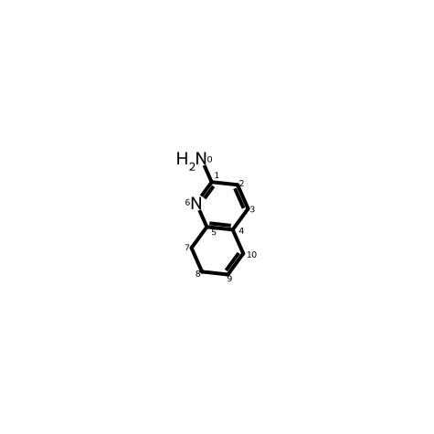 Nc1ccc2c(n1)CCC=C2